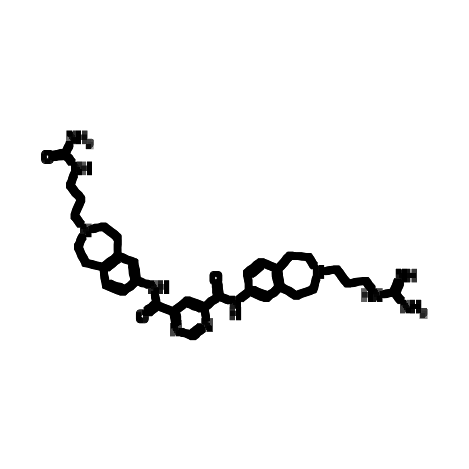 N=C(N)NCCCN1CCc2ccc(NC(=O)c3cc(C(=O)Nc4ccc5c(c4)CCN(CCCNC(N)=O)CC5)ncn3)cc2CC1